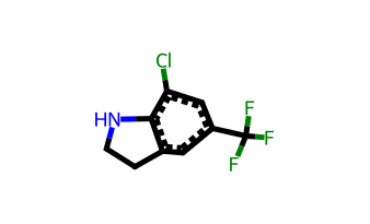 FC(F)(F)c1cc(Cl)c2c(c1)CCN2